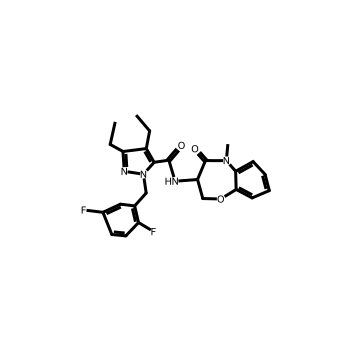 CCc1nn(Cc2cc(F)ccc2F)c(C(=O)NC2COc3ccccc3N(C)C2=O)c1CC